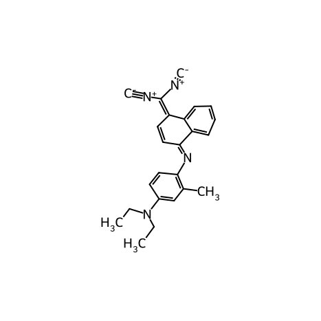 [C-]#[N+]C([N+]#[C-])=C1C=CC(=Nc2ccc(N(CC)CC)cc2C)c2ccccc21